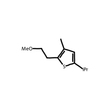 COCCc1sc(C(C)C)cc1C